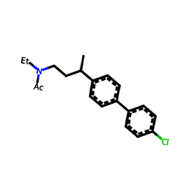 CCN(CCC(C)c1ccc(-c2ccc(Cl)cc2)cc1)C(C)=O